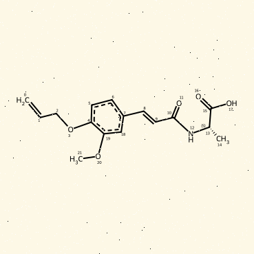 C=CCOc1ccc(C=CC(=O)N[C@@H](C)C(=O)O)cc1OC